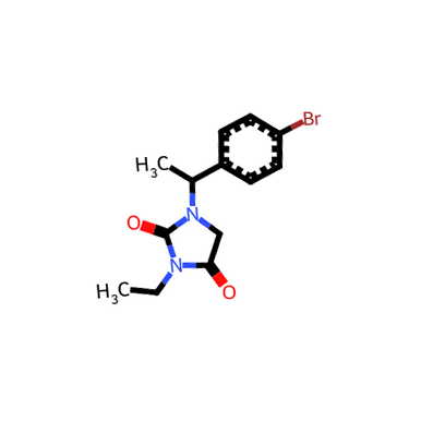 CCN1C(=O)CN(C(C)c2ccc(Br)cc2)C1=O